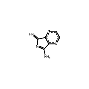 N=C1N=C(N)c2nccnc21